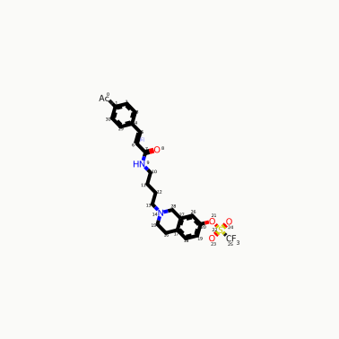 CC(=O)c1ccc(/C=C/C(=O)NCCCCN2CCc3ccc(OS(=O)(=O)C(F)(F)F)cc3C2)cc1